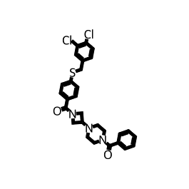 O=C(c1ccccc1)N1CCN(C2CN(C(=O)c3ccc(SCc4ccc(Cl)c(Cl)c4)cc3)C2)CC1